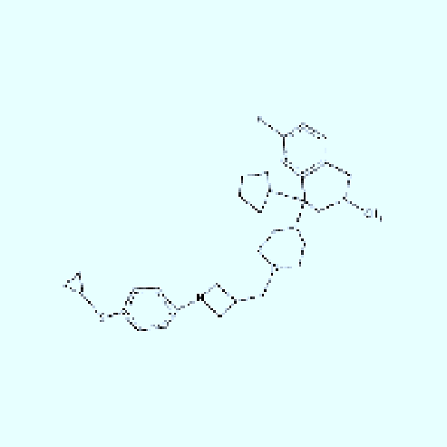 CN1Cc2ccc(F)cc2C(C2CCCC2)(C2CCN(CC3CN(c4ccc(SC5CC5)cc4)C3)CC2)C1